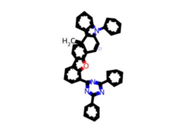 C=Cc1c(/C=C\c2cccc3c2oc2c(-c4nc(-c5ccccc5)nc(-c5ccccc5)n4)cccc23)n(-c2ccccc2)c2ccccc12